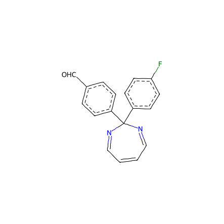 O=Cc1ccc(C2(c3ccc(F)cc3)N=CC=CC=N2)cc1